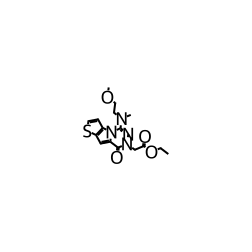 CCOC(=O)Cn1nc(N(C)CCOC)n2c(cc3sccc32)c1=O